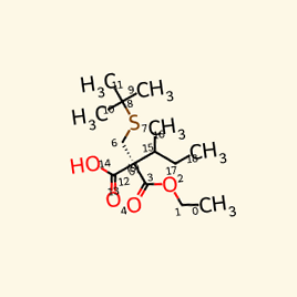 CCOC(=O)[C@@](CSC(C)(C)C)(C(=O)O)C(C)CC